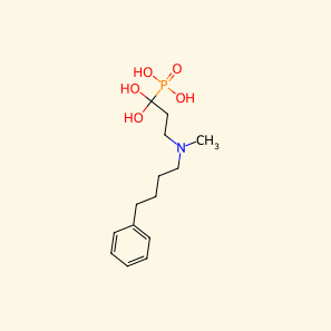 CN(CCCCc1ccccc1)CCC(O)(O)P(=O)(O)O